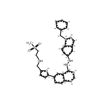 CS(=O)(=O)CCNCc1ccc(-c2ccc3ncnc(NNc4ccc5c(cnn5Cc5ccccc5)c4)c3c2)o1